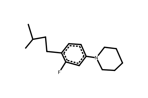 CC(C)CCc1ccc(N2CCCCC2)cc1F